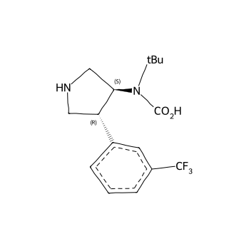 CC(C)(C)N(C(=O)O)[C@@H]1CNC[C@H]1c1cccc(C(F)(F)F)c1